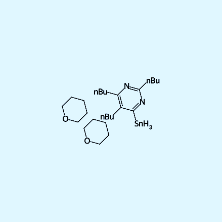 C1CCOCC1.C1CCOCC1.CCCCc1n[c]([SnH3])c(CCCC)c(CCCC)n1